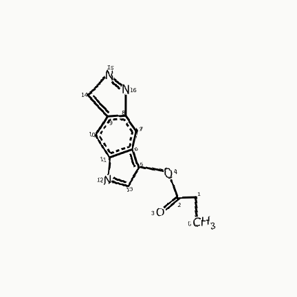 CCC(=O)OC1=c2cc3c(cc2N=C1)=CN=N3